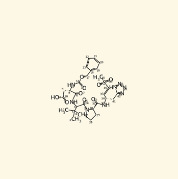 CC(C)(C)C(NC(=O)[C@H](CC(=O)O)NC(=O)OCc1ccccc1)C(=O)N1CCC[C@@H]1C(=O)N[C@H](/C=C/S(C)(=O)=O)Cc1nnn[nH]1